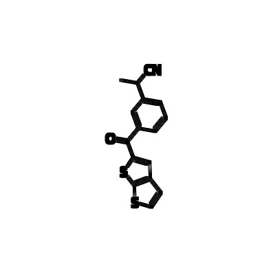 CC(C#N)c1cccc(C(=O)c2cc3ccsc3s2)c1